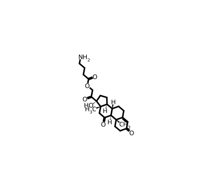 C[C@]12CCC(=O)C=C1CC[C@@H]1[C@@H]2C(=O)C[C@@]2(C)[C@H]1CC[C@]2(O)C(=O)COC(=O)CCCN